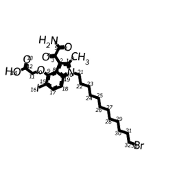 Cc1c(C(=O)C(N)=O)c2c(OCC(=O)O)c(I)ccc2n1CCCCCCCCCCCCBr